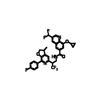 CC1COc2c1cc(C(CNC(=O)c1cc(OC3CC3)c3ncc(C(F)F)cc3c1)C(F)(F)F)nc2-c1ccc(F)cc1